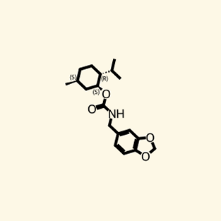 CC(C)[C@H]1CC[C@H](C)C[C@@H]1OC(=O)NCc1ccc2c(c1)OCO2